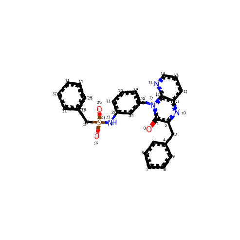 O=c1c(Cc2ccccc2)nc2cccnc2n1-c1cccc(NS(=O)(=O)Cc2ccccc2)c1